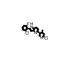 Cc1cc(Cl)ncc1-c1ccc2[nH]c(-c3c(F)cccc3Cl)cc2n1